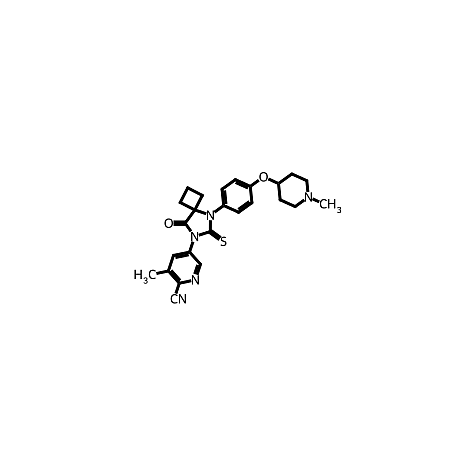 Cc1cc(N2C(=O)C3(CCC3)N(c3ccc(OC4CCN(C)CC4)cc3)C2=S)cnc1C#N